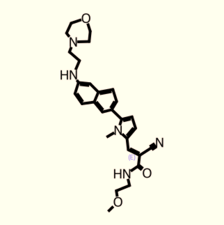 COCCNC(=O)/C(C#N)=C/c1ccc(-c2ccc3cc(NCCN4CCOCC4)ccc3c2)n1C